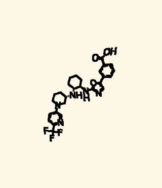 O=C(O)c1cccc(-c2cnc(N[C@@H]3CCCC[C@H]3N[C@H]3CCCN(c4ccc(C(F)(F)F)nc4)C3)o2)c1